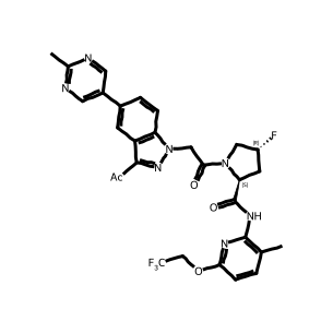 CC(=O)c1nn(CC(=O)N2C[C@H](F)C[C@H]2C(=O)Nc2nc(OCC(F)(F)F)ccc2C)c2ccc(-c3cnc(C)nc3)cc12